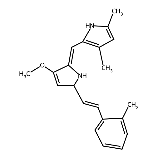 COC1=CC(/C=C/c2ccccc2C)N/C1=C\c1[nH]c(C)cc1C